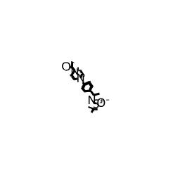 CC(=O)N1CCN(c2ccc(/C(C)=N/[S@+]([O-])C(C)(C)C)cc2)CC1